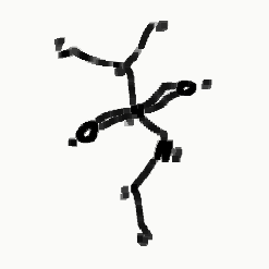 CC[N]S(=O)(=O)C(C)C